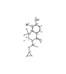 C[C@H]1C(N(C)CC2CC2)C(=O)c2ccc(O)c(Br)c2C1(C)C